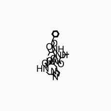 CC(C)CC(NC(=O)C(NC(=O)OCc1ccccc1)C(C)C)C(=O)NC1Cc2ccnc(n2)CCNC(=O)C1=O